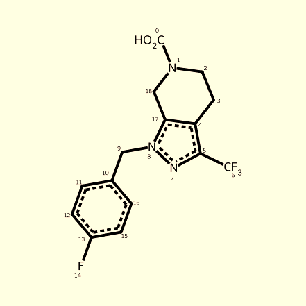 O=C(O)N1CCc2c(C(F)(F)F)nn(Cc3ccc(F)cc3)c2C1